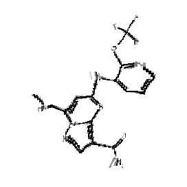 CNc1cc(Nc2cccnc2OC(F)(F)F)nc2c(C(N)=O)cnn12